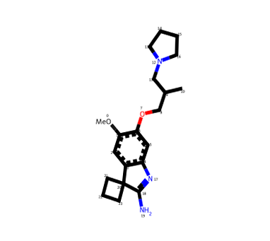 COc1cc2c(cc1OCC(C)CN1CCCC1)N=C(N)C21CCC1